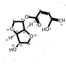 C=C(O)/C=C\C(=O)O[C@H]1CO[C@H]2[C@@H]1OC[C@H]2O